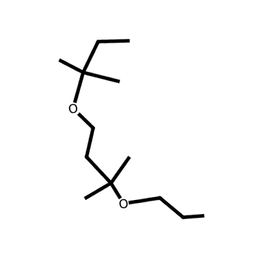 CCCOC(C)(C)CCOC(C)(C)CC